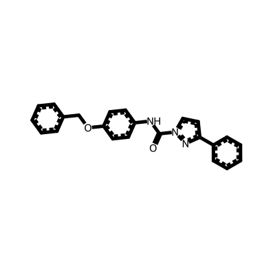 O=C(Nc1ccc(OCc2ccccc2)cc1)n1ccc(-c2ccccc2)n1